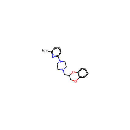 Cc1cccc(N2CCN(CC3COc4ccccc4O3)CC2)n1